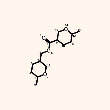 CC1CCC(COC(=O)C2CCC(C)OC2)CO1